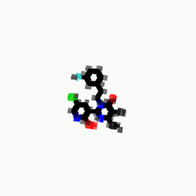 CCc1c(C)nc(-c2cc(Cl)cnc2O)n(CCc2cccc(F)c2)c1=O